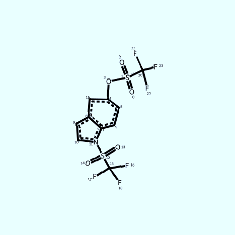 O=S(=O)(Oc1ccc2c(ccn2S(=O)(=O)C(F)(F)F)c1)C(F)(F)F